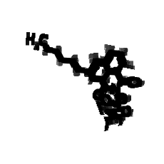 CCCCCCc1cc2c3c(cccc3c1)C(=O)N(OS(=O)(=O)C(F)(F)F)C2=O